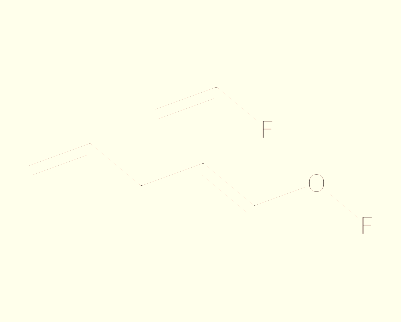 C=CCC=COF.C=CF